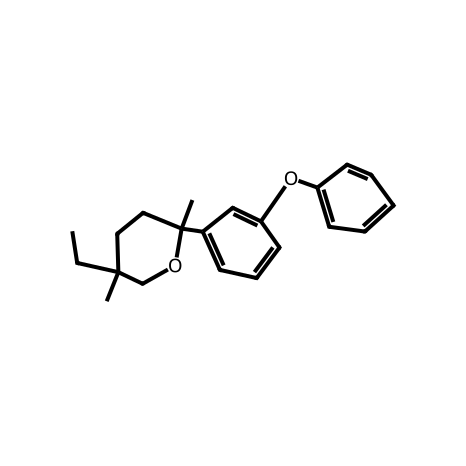 CCC1(C)CCC(C)(c2cccc(Oc3ccccc3)c2)OC1